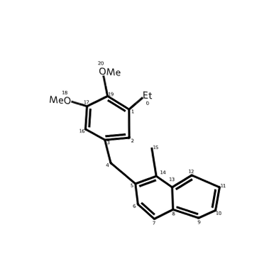 CCc1cc(Cc2ccc3ccccc3c2C)cc(OC)c1OC